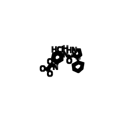 COC(=O)c1nc2cc(NC(=O)[C@H]3NCC[C@H]3C3CCCCC3)ccc2o1.Cl